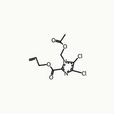 C=CCOC(=O)c1nc(Cl)c(Cl)n1COC(C)=O